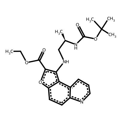 CCOC(=O)c1oc2ccc3ncccc3c2c1NC[C@@H](C)NC(=O)OC(C)(C)C